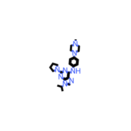 CC(C)n1cnc2c(Nc3ccc(N4CCN(C)CC4)cc3)nc(N3CCCC3)nc21